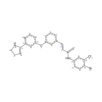 O=C(/C=C/c1cccc(Oc2ccnc(C3=NCCN3)c2)c1)Nc1ccc(Br)c(C(F)(F)F)c1